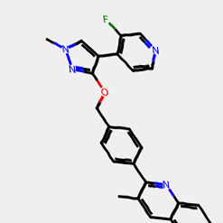 Cc1cc2ccccc2nc1-c1ccc(COc2nn(C)cc2-c2ccncc2F)cc1